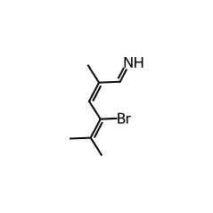 CC(C)=C(Br)/C=C(/C)C=N